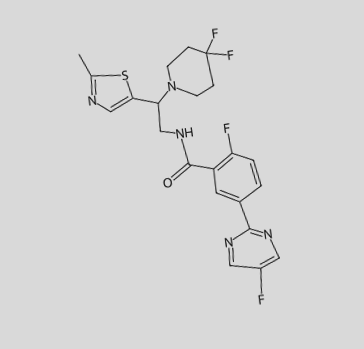 Cc1ncc(C(CNC(=O)c2cc(-c3ncc(F)cn3)ccc2F)N2CCC(F)(F)CC2)s1